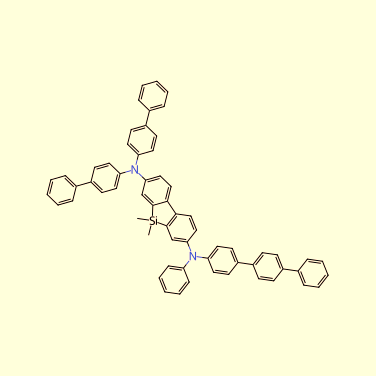 C[Si]1(C)c2cc(N(c3ccccc3)c3ccc(-c4ccc(-c5ccccc5)cc4)cc3)ccc2-c2ccc(N(c3ccc(-c4ccccc4)cc3)c3ccc(-c4ccccc4)cc3)cc21